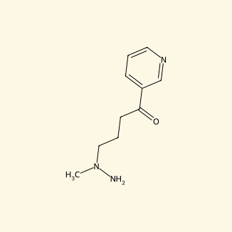 CN(N)CCCC(=O)c1cccnc1